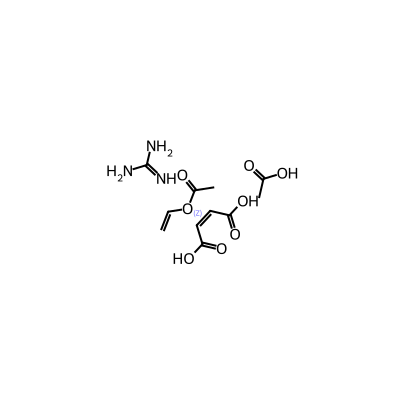 C=COC(C)=O.CC(=O)O.N=C(N)N.O=C(O)/C=C\C(=O)O